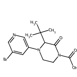 CC(C)(C)C1C(=O)N(C(=O)O)CCN1c1cncc(Br)c1